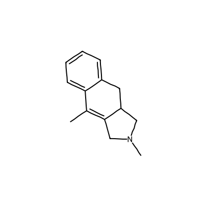 CC1=C2CN(C)CC2Cc2ccccc21